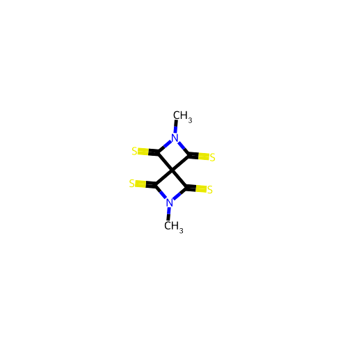 CN1C(=S)C2(C1=S)C(=S)N(C)C2=S